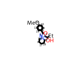 CCC(O)C[N+]1([N-]C(=O)c2ccc(OC)cc2)CCCCC1